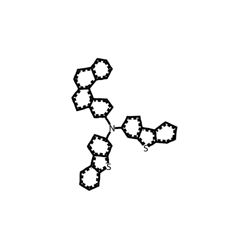 c1ccc2c(c1)ccc1ccc3cc(N(c4ccc5c(c4)sc4ccccc45)c4ccc5c(c4)sc4ccccc45)ccc3c12